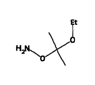 CCOC(C)(C)ON